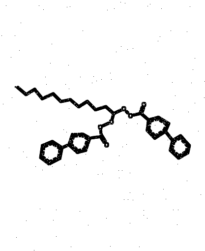 [CH2]CCCCCCCCCC[C](OOC(=O)c1ccc(-c2ccccc2)cc1)OOC(=O)c1ccc(-c2ccccc2)cc1